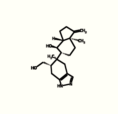 C=C1CC[C@H]2[C@H](O)[C@@H]([C@@]3(C)Cc4cn[nH]c4C[C@@H]3CO)CC[C@]12C